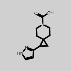 O=C(O)N1CCC2(CC1)CC2c1cc[nH]n1